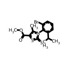 COC(=O)c1sc(=S)n(-c2c(Br)cccc2C(C)C)c1C